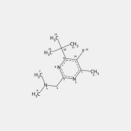 Cc1nc(CN(C)C)nc(C(C)(C)C)c1F